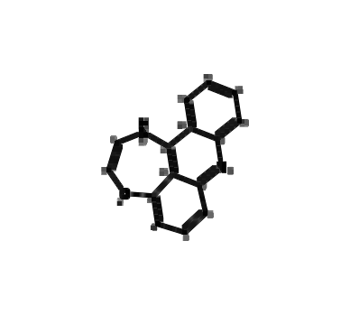 C1=COc2cccc3nc4ccccc4c(c23)N1